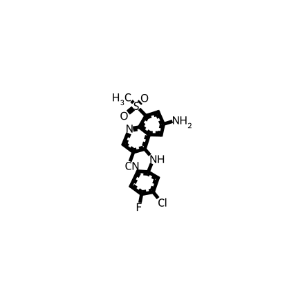 CS(=O)(=O)c1cc(N)cc2c(Nc3ccc(F)c(Cl)c3)c(C#N)cnc12